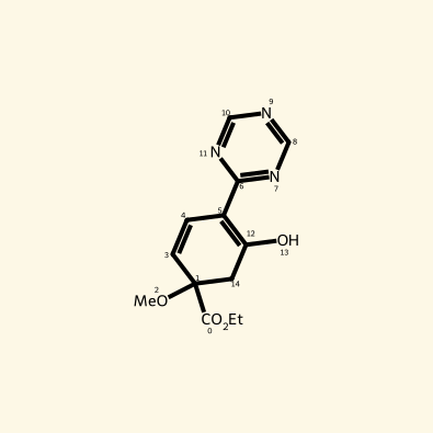 CCOC(=O)C1(OC)C=CC(c2ncncn2)=C(O)C1